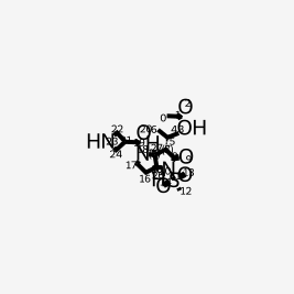 CC(=O)O.CC(C)[C@@H]1C(=O)N(S(C)(=O)=O)[C@@H]2CCN(C(=O)C3CNC3)[C@H]21